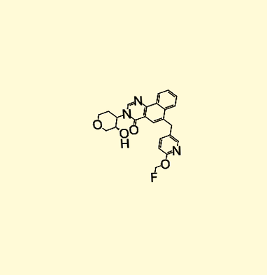 O=c1c2cc(Cc3ccc(OCF)nc3)c3ccccc3c2ncn1C1CCOC[C@@H]1O